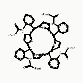 CCCCCC(=O)Nc1ccccc1-c1c2nc(c(-c3ccccc3NC(=O)CCCCC)c3ccc([nH]3)c(-c3ccccc3NC(=O)CCCCC)c3nc(c(-c4ccccc4NC(=O)CCCCC)c4ccc1[nH]4)C=C3)C=C2